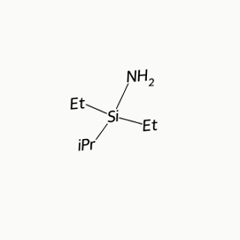 CC[Si](N)(CC)C(C)C